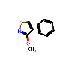 C.[O]c1ccsn1.c1ccccc1